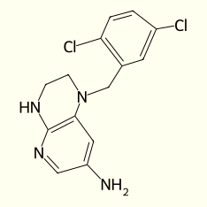 Nc1cnc2c(c1)N(Cc1cc(Cl)ccc1Cl)CCN2